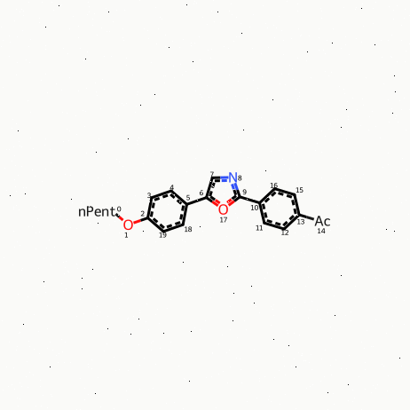 CCCCCOc1ccc(-c2cnc(-c3ccc(C(C)=O)cc3)o2)cc1